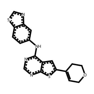 C1=C(c2cc3c(Nc4ccc5scnc5c4)ncnc3s2)CCOC1